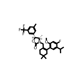 COc1cc(F)c(C(C)C)cc1C1=C(CN2C(=O)O[C@H](c3cc(C)cc(C(F)(F)F)c3)[C@@H]2C)CCC(C)(C)C1